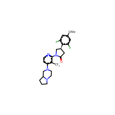 COc1cc(F)c([C@H]2CC(=O)N(c3nccc(N4CCN5CCCC5C4)c3C(F)(F)F)C2)c(F)c1